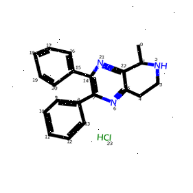 CC1NCCc2nc(-c3ccccc3)c(-c3ccccc3)nc21.Cl